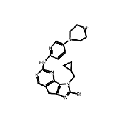 CCc1nc2c(n1CC1CC1)-c1nc(Nc3ccc(N4CCNCC4)cn3)ncc1C2